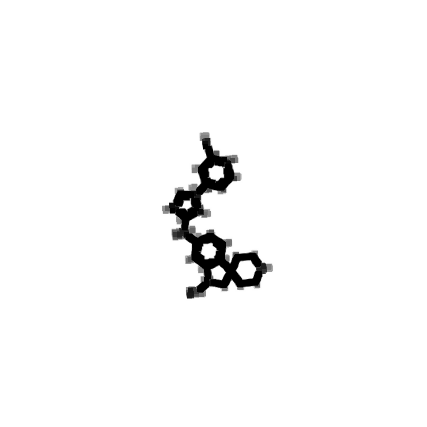 CC(C)N1CC2(CCOCC2)c2ccc(Nc3ncn(-c4ccnc(F)c4)n3)cc21